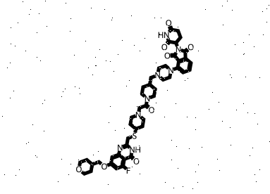 O=C1CCC(N2C(=O)c3cccc(N4CCN(CC5CCN(C(=O)CN6CCC(SCc7nc8cc(OCC9CCOCC9)cc(F)c8c(=O)[nH]7)CC6)CC5)CC4)c3C2=O)C(=O)N1